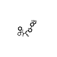 N#C/C(=C\c1cccc(-c2ccc3[nH]ncc3c2)n1)C(=O)NC1(c2ccccc2)CCCC1